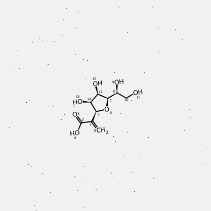 C=C(C(=O)O)[C@@H]1O[C@H]([C@@H](O)CO)[C@H](O)[C@@H]1O